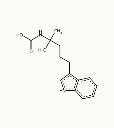 CC(C)(CCCc1c[nH]c2ccccc12)NC(=O)O